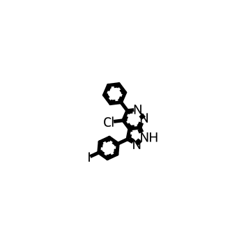 Clc1c(-c2ccccc2)nnc2[nH]nc(-c3ccc(I)cc3)c12